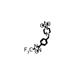 CS(=O)(=O)N1CCN(Cc2ccc(-c3noc(C(F)(F)F)n3)cc2)CC1